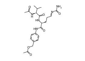 CC(=O)N[C@H](C(=O)N[C@@H](CC/C=N/C(N)=O)C(=O)Nc1ccc(COC(C)=O)cc1)C(C)C